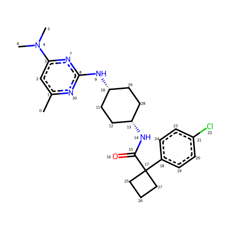 Cc1cc(N(C)C)nc(N[C@H]2CC[C@@H](NC(=O)C3(c4ccc(Cl)cc4)CCC3)CC2)n1